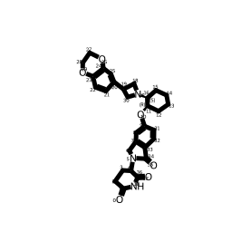 O=C1CCC(N2Cc3cc(O[C@@H]4CCCC[C@@H]4N4CC(c5ccc6c(c5)OCCO6)C4)ccc3C2=O)C(=O)N1